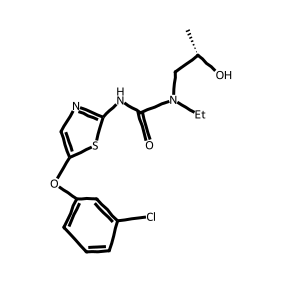 CCN(C[C@H](C)O)C(=O)Nc1ncc(Oc2cccc(Cl)c2)s1